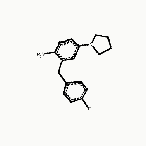 Nc1ccc(N2CCCC2)cc1Cc1ccc(F)cc1